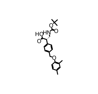 Cc1ccc(OCc2ccc([C@@H](CNC(=O)OC(C)(C)C)C(=O)O)cc2)c(C)c1